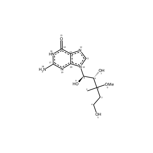 COC(C)(CCO)[C@@H](O)[C@@H](O)n1cnc2c(=O)[nH]c(N)nc21